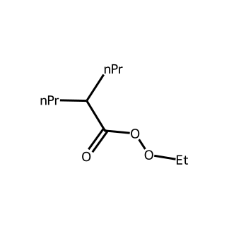 CCCC(CCC)C(=O)OOCC